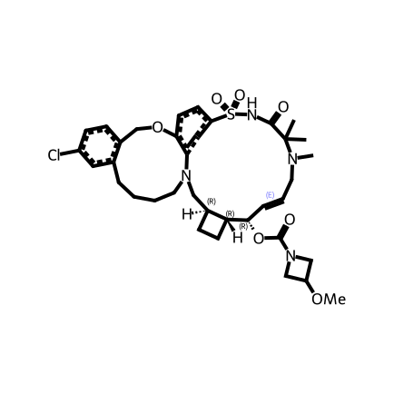 COC1CN(C(=O)O[C@H]2/C=C/CN(C)C(C)(C)C(=O)NS(=O)(=O)c3ccc4c(c3)N(CCCCc3cc(Cl)ccc3CO4)C[C@@H]3CC[C@H]32)C1